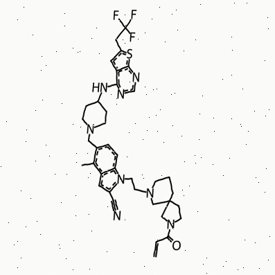 C=CC(=O)N1CCC2(CCCN(CCn3c(C#N)cc4c(C)c(CN5CCC(Nc6ncnc7sc(CC(F)(F)F)cc67)CC5)ccc43)C2)C1